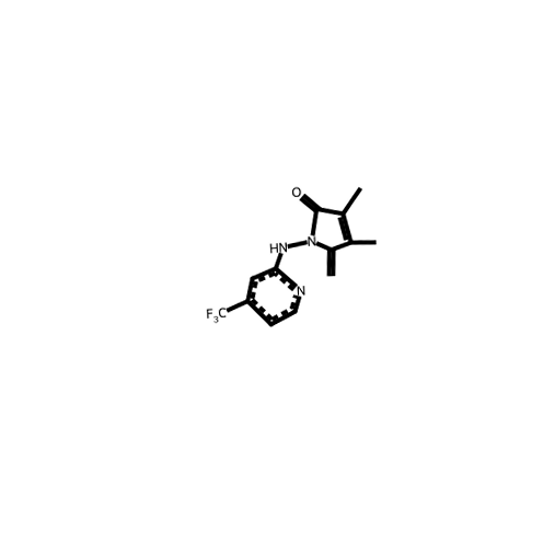 C=C1C(C)=C(C)C(=O)N1Nc1cc(C(F)(F)F)ccn1